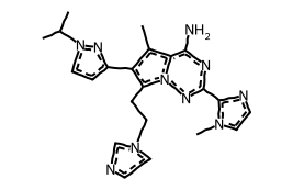 Cc1c(-c2ccn(C(C)C)n2)c(CCn2ccnc2)n2nc(-c3nccn3C)nc(N)c12